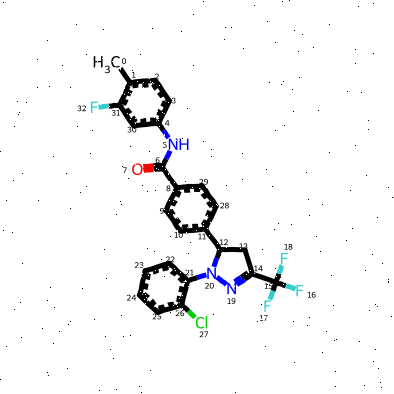 Cc1ccc(NC(=O)c2ccc(C3CC(C(F)(F)F)=NN3c3ccccc3Cl)cc2)cc1F